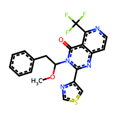 COC(Cc1ccccc1)n1c(-c2cscn2)nc2ccnc(C(F)(F)F)c2c1=O